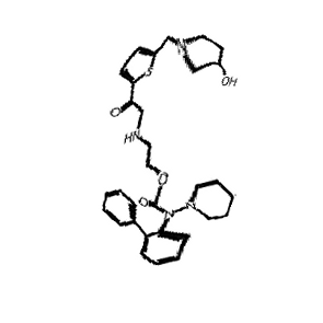 O=C(CNCCOC(=O)N(c1ccccc1-c1ccccc1)N1CC[CH]CC1)c1ccc(CN2CCC(O)C2)s1